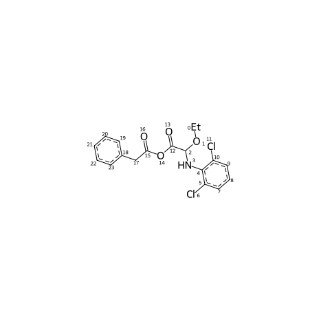 CCOC(Nc1c(Cl)cccc1Cl)C(=O)OC(=O)Cc1ccccc1